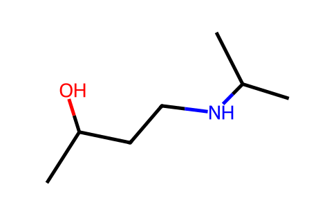 CC(O)CCNC(C)C